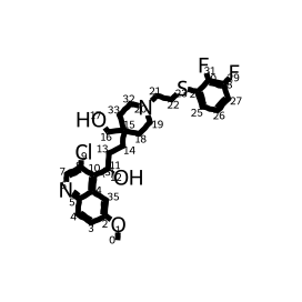 COc1ccc2ncc(Cl)c([C@@H](O)CCC3(CO)CCN(CCSc4cccc(F)c4F)CC3)c2c1